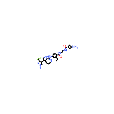 CCc1cc(Nc2ncccc3c(-c4c[nH]nc4C(F)(F)F)cnc2-3)ccc1C(=O)NCCNC(=O)[C@H]1C[C@@H](N)C1